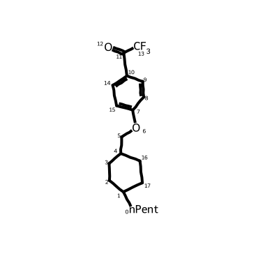 CCCCCC1CCC(COc2ccc(C(=O)C(F)(F)F)cc2)CC1